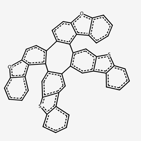 c1ccc2c(c1)oc1ccc3c(c12)-c1cc2sc4ccccc4c2cc1-c1cc2c(cc1-c1c-3ccc3oc4ccccc4c13)sc1ccccc12